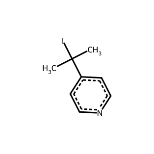 CC(C)(I)c1ccncc1